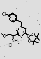 COCC(N)C(=O)N[C@@H](CCCc1ccc(Cl)cc1)B1OC(C)(C)C(C)(C)O1.Cl